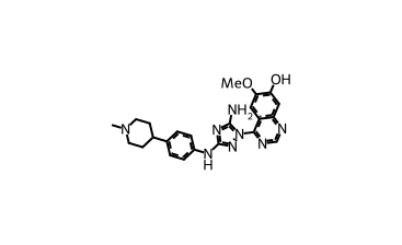 COc1cc2c(-n3nc(Nc4ccc(C5CCN(C)CC5)cc4)nc3N)ncnc2cc1O